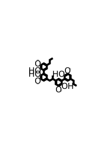 CCCc1cc(OC)c(O)c(-c2cc(CC(C)c3cc(OC)c(O)c(-c4cc(CCC)cc(OC)c4O)c3)cc(OC)c2O)c1